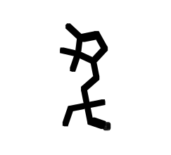 CCC(C)(C=O)CCC1CC=C(C)C1(C)C